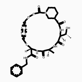 C[C@@H]1NC(=O)[C@H]([C@@H](C)O)NC(=O)[C@H]2CCCN(C2)C(=O)COc2ccc(cc2)C[C@@H](C(=O)NCc2ccccc2)NC1=O